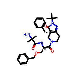 CC(C)(N)C(=O)N[C@H](COCc1ccccc1)C(=O)N1CCC2=NN(C(C)(C)C)C(=O)[C@]2(Cc2ccccc2)C1